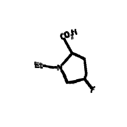 CCN1CC(F)CC1C(=O)O